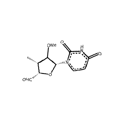 COC1[C@@H](C)[C@@H](C=O)O[C@H]1n1ccc(=O)[nH]c1=O